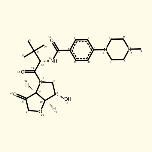 CN1CCN(c2ccc(C(=O)N[C@H](C(=O)N3C[C@H](O)[C@H]4OCC(=O)[C@H]43)C(C)(C)C)cc2)CC1